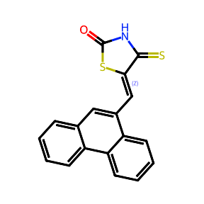 O=C1NC(=S)/C(=C/c2cc3ccccc3c3ccccc23)S1